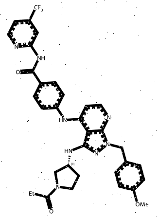 CCC(=O)N1CC[C@@H](Nc2nn(Cc3ccc(OC)cc3)c3nccc(Nc4ccc(C(=O)Nc5cc(C(F)(F)F)ccn5)cc4)c23)C1